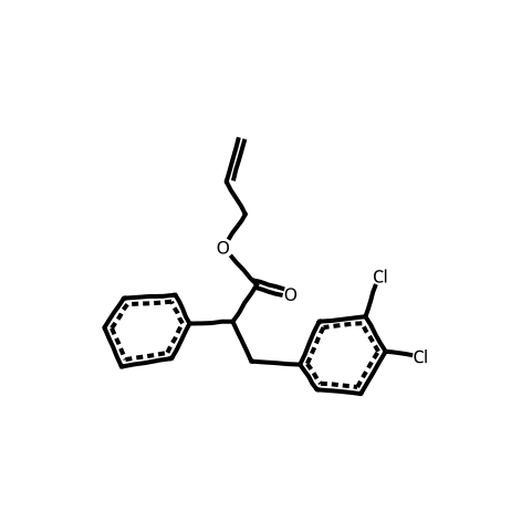 C=CCOC(=O)C(Cc1ccc(Cl)c(Cl)c1)c1ccccc1